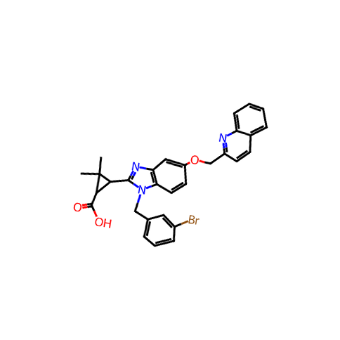 CC1(C)C(C(=O)O)C1c1nc2cc(OCc3ccc4ccccc4n3)ccc2n1Cc1cccc(Br)c1